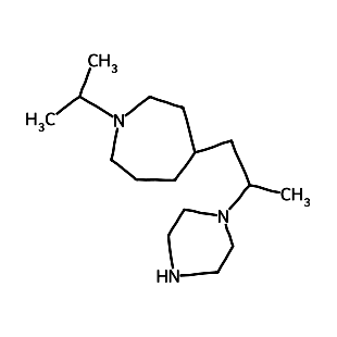 CC(C)N1CCCC(CC(C)N2CCNCC2)CC1